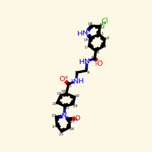 O=C(NCCNC(=O)c1ccc2c(Cl)c[nH]c2c1)c1ccc(-n2ccccc2=O)cc1